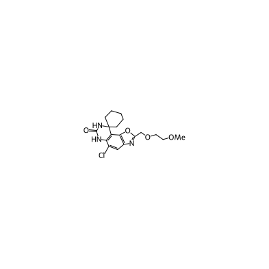 COCCOCc1nc2cc(Cl)c3c(c2o1)C1(CCCCC1)NC(=O)N3